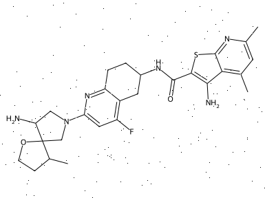 Cc1cc(C)c2c(N)c(C(=O)NC3CCc4nc(N5CC(N)C6(C5)OCCC6C)cc(F)c4C3)sc2n1